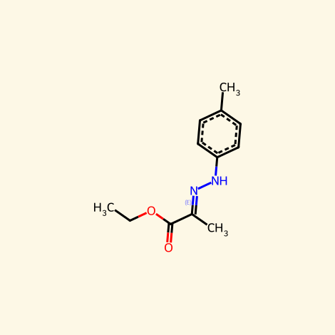 CCOC(=O)/C(C)=N/Nc1ccc(C)cc1